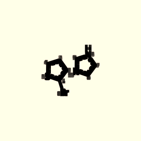 Brc1cccs1.c1c[nH]cn1